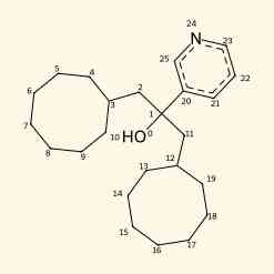 OC(CC1CCCCCCC1)(CC1CCCCCCC1)c1cccnc1